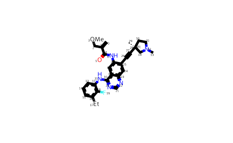 C=C(COC)C(=O)Nc1cc2c(Nc3cccc(CC)c3F)ncnc2cc1C#C[C@@]1(C)CCN(C)C1